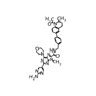 CC(=O)N1c2ccc(-c3ccc(CNC(=O)c4nc5c(N6CCOCC6)nc(-c6cnc(N)nc6)nc5n4C)cc3)cc2CC[C@@H]1C